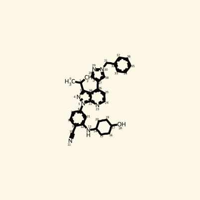 CC(C)c1nn(-c2ccc(C#N)c(NC3CCC(O)CC3)c2)c2nccc(-c3cnn(Cc4ccccc4)c3)c12